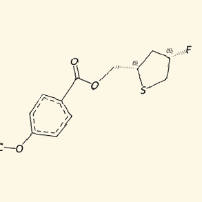 COc1ccc(C(=O)OC[C@@H]2C[C@H](F)CS2)cc1